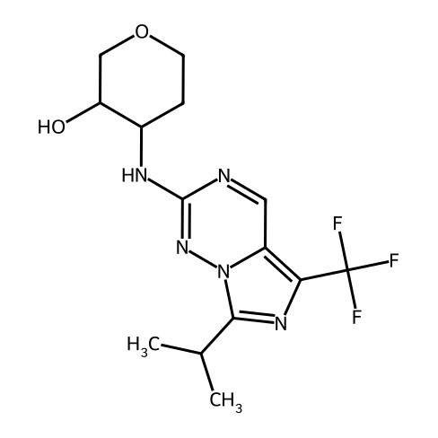 CC(C)c1nc(C(F)(F)F)c2cnc(NC3CCOCC3O)nn12